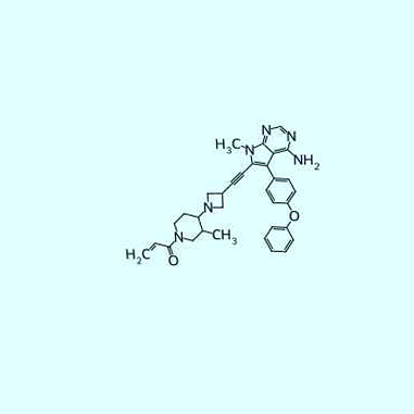 C=CC(=O)N1CCC(N2CC(C#Cc3c(-c4ccc(Oc5ccccc5)cc4)c4c(N)ncnc4n3C)C2)C(C)C1